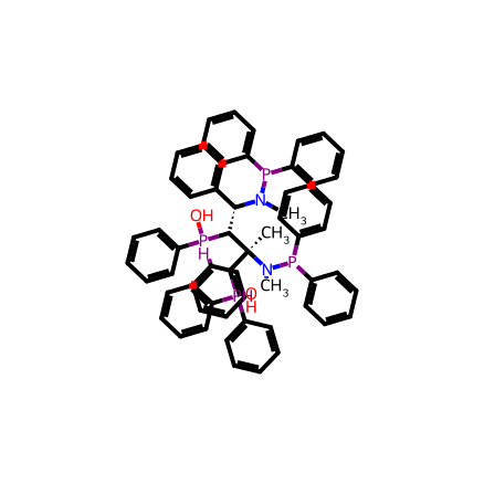 CN([C@@H](c1ccccc1)C([C@](C)(C[PH](O)(c1ccccc1)c1ccccc1)N(C)P(c1ccccc1)c1ccccc1)[PH](O)(c1ccccc1)c1ccccc1)P(c1ccccc1)c1ccccc1